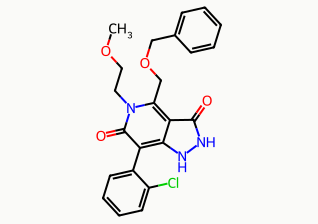 COCCn1c(COCc2ccccc2)c2c(=O)[nH][nH]c2c(-c2ccccc2Cl)c1=O